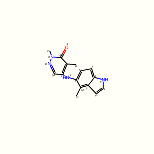 Cc1c(Nc2ccc3[nH]ccc3c2C)cnn(C)c1=O